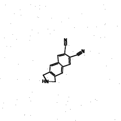 N#Cc1cc2cc3c(cc2cc1C#N)CNC3